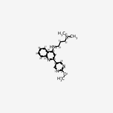 COc1ncc(-c2cc(NCCCN(C)C)c3ccccc3n2)cn1